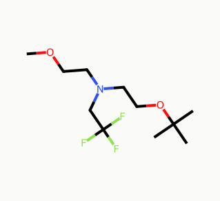 COCCN(CCOC(C)(C)C)CC(F)(F)F